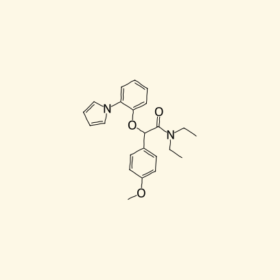 CCN(CC)C(=O)C(Oc1ccccc1-n1cccc1)c1ccc(OC)cc1